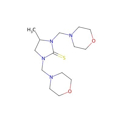 CC1CN(CN2CCOCC2)C(=S)N1CN1CCOCC1